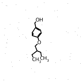 CCC(CC)COc1ccc(CO)cc1